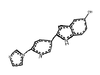 Oc1ccc2[nH]c(-c3ccc(-n4ccnc4)nc3)cc2c1